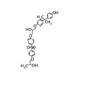 CC(O)COc1ccc(S(=O)(=O)c2ccc(OCC(O)COc3ccc(C(C)(C)c4ccc(O)cc4)cc3)cc2)cc1